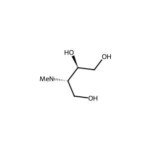 CN[C@@H](CO)[C@@H](O)CO